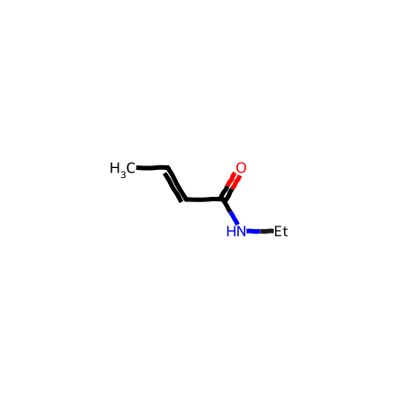 CC=CC(=O)NCC